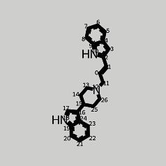 C(=C\c1cc2ccccc2[nH]1)/CN1CCC(c2c[nH]c3ccccc23)CC1